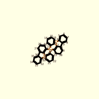 C1=c2c(sc3ccccc23)=C(S(c2ccccc2)(c2ccccc2)c2cccc3c2sc2ccccc23)CC1